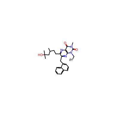 CC(C)Cn1c(=O)n(C)c(=O)c2nc(CCC(C)CC(C)(C)O)c(Cc3cccc4ccccc34)nc21